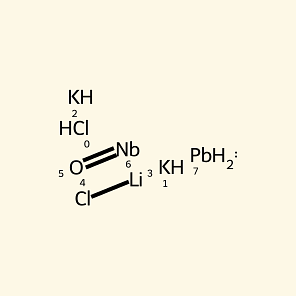 Cl.[KH].[KH].[Li][Cl].[O]=[Nb].[PbH2]